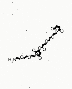 NCCOCCOCCN1C(=O)C=C(OC(=O)CCOCCOCCN2C(=O)C=CC2=O)C1=O